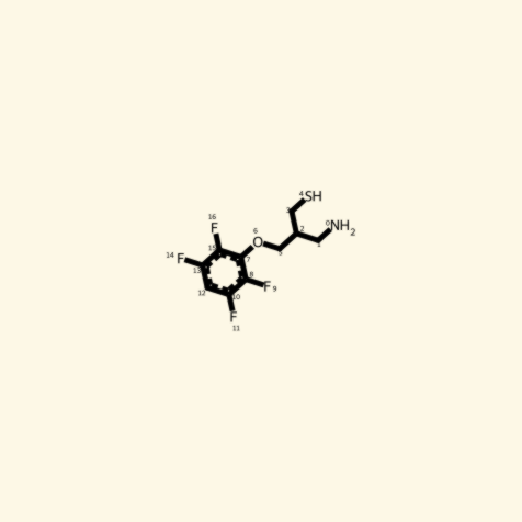 NCC(CS)COc1c(F)c(F)cc(F)c1F